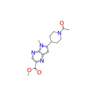 COC(=O)c1cnc2c(cc(C3CCN(C(C)=O)CC3)n2C)n1